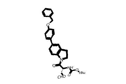 CC(C)(C)OC(=O)N[C@H](CC=O)C(=O)N1CCc2cc(-c3ccc(OCc4ccccc4)cc3)ccc21